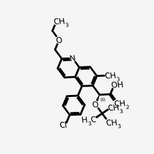 C=C(O)[C@@H](OC(C)(C)C)c1c(C)cc2nc(COCC)ccc2c1-c1ccc(Cl)cc1